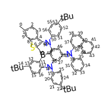 Cc1ccc2c3c(sc2c1)B1c2cc(C(C)(C)C)ccc2N(c2ccc(C(C)(C)C)cc2)c2cc(N(c4ccccc4)c4cccc5ccccc45)cc(c21)N3c1ccc(C(C)(C)C)cc1